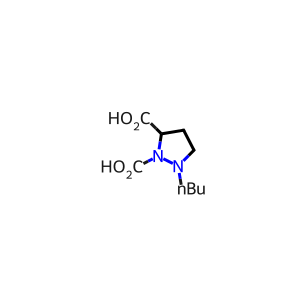 CCCCN1CCC(C(=O)O)N1C(=O)O